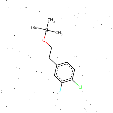 CC(C)(C)[Si](C)(C)OCCc1ccc(Cl)c(F)c1